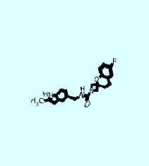 Cc1cc2cc(CNC(=O)N3CC4(CCc5cc(F)ccc5O4)C3)ccc2[nH]1